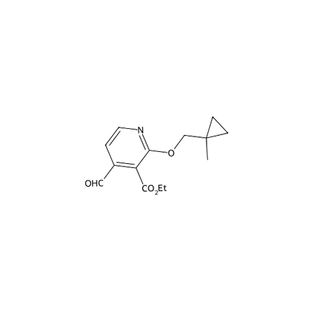 CCOC(=O)c1c(C=O)ccnc1OCC1(C)CC1